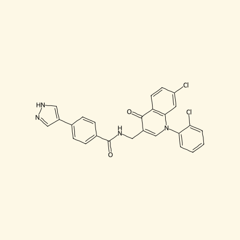 O=C(NCc1cn(-c2ccccc2Cl)c2cc(Cl)ccc2c1=O)c1ccc(-c2cn[nH]c2)cc1